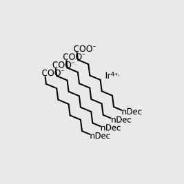 CCCCCCCCCCCCCCCCCC(=O)[O-].CCCCCCCCCCCCCCCCCC(=O)[O-].CCCCCCCCCCCCCCCCCC(=O)[O-].CCCCCCCCCCCCCCCCCC(=O)[O-].[Ir+4]